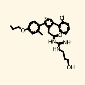 CCCOc1ccc(-c2scc(-c3ccccc3Cl)c2CC(=O)NC(=N)NCCCO)c(C)c1